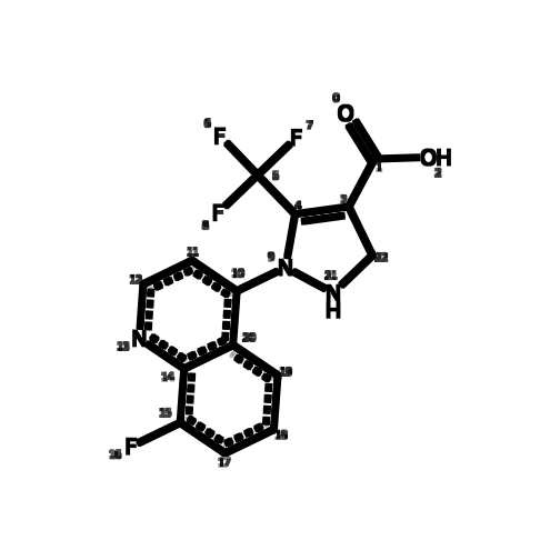 O=C(O)C1=C(C(F)(F)F)N(c2ccnc3c(F)cccc23)NC1